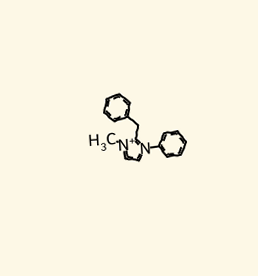 C[n+]1ccn(-c2ccccc2)c1Cc1ccccc1